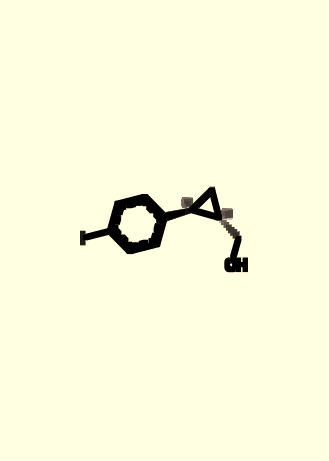 OC[C@H]1C[C@@H]1c1ccc(I)cc1